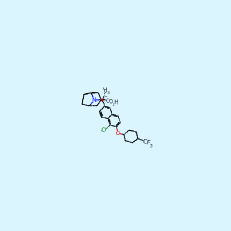 C[C@@H](c1ccc2c(Cl)c(OC3CCC(C(F)(F)F)CC3)ccc2c1)N1C2CCC1CC(C(=O)O)C2